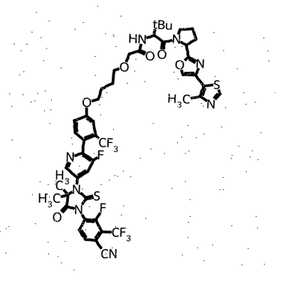 Cc1ncsc1-c1coc(C2CCCN2C(=O)C(NC(=O)COCCCCOc2ccc(-c3ncc(N4C(=S)N(c5ccc(C#N)c(C(F)(F)F)c5F)C(=O)C4(C)C)cc3F)c(C(F)(F)F)c2)C(C)(C)C)n1